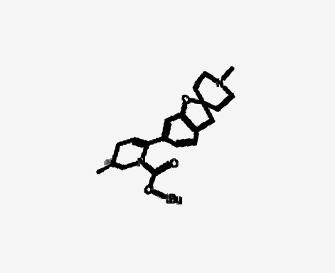 C[C@H]1CC=C(c2ccc3c(c2)OC2(CCN(C)CC2)C3)N(C(=O)OC(C)(C)C)C1